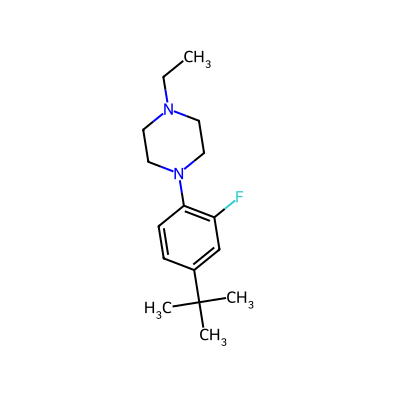 CCN1CCN(c2ccc(C(C)(C)C)cc2F)CC1